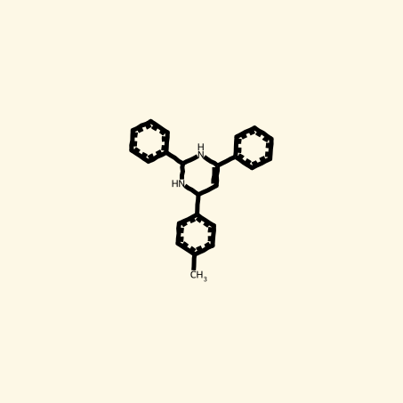 Cc1ccc(C2C=C(c3ccccc3)NC(c3ccccc3)N2)cc1